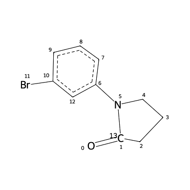 O=[13C]1CCCN1c1cccc(Br)c1